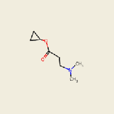 CN(C)CCC(=O)OC1CC1